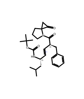 CC(C)C[C@@H](/C=C/[C@H](Cc1ccccc1)C(=O)N1CCCC12CC2=O)NC(=O)OC(C)(C)C